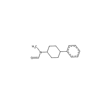 CN(C=O)C1CCC(c2ccccc2)CC1